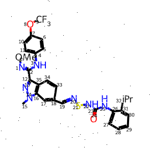 CO/N=C(\Nc1ccc(OC(F)(F)F)cc1)c1nn(C)c2cc(/C=N/SNC(=O)Nc3ccccc3C(C)C)ccc12